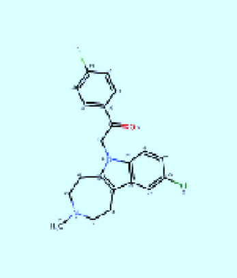 CN1CCc2c(n(CC(=O)c3ccc(F)cc3)c3ccc(Cl)cc23)CC1